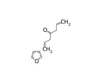 C=CCC(=O)CC=C.c1ccoc1